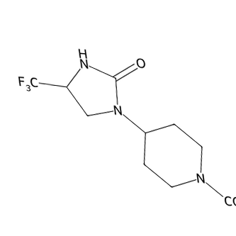 O=C(O)N1CCC(N2CC(C(F)(F)F)NC2=O)CC1